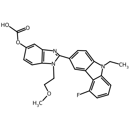 CCn1c2ccc(-c3nc4cc(OC(=O)O)ccc4n3CCOC)cc2c2c(F)cccc21